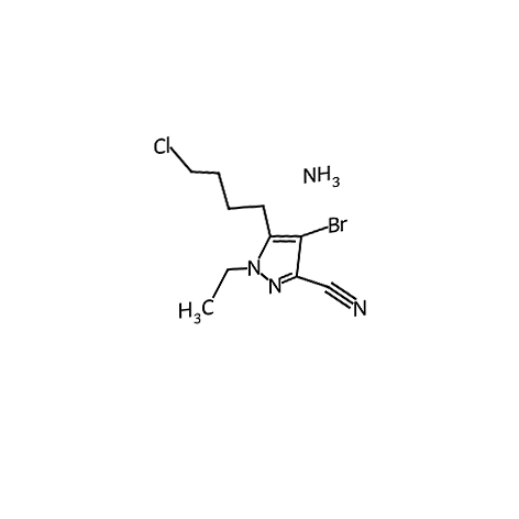 CCn1nc(C#N)c(Br)c1CCCCCl.N